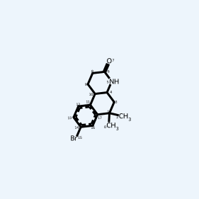 CC1(C)CC2NC(=O)CCC2c2ccc(Br)cc21